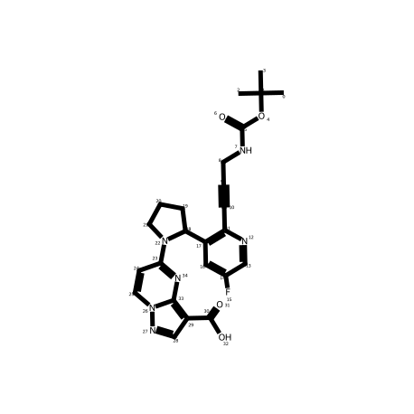 CC(C)(C)OC(=O)NCC#Cc1ncc(F)cc1C1CCCN1c1ccn2ncc(C(=O)O)c2n1